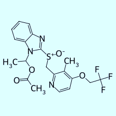 CC(=O)OC(C)n1c([S+]([O-])Cc2nccc(OCC(F)(F)F)c2C)nc2ccccc21